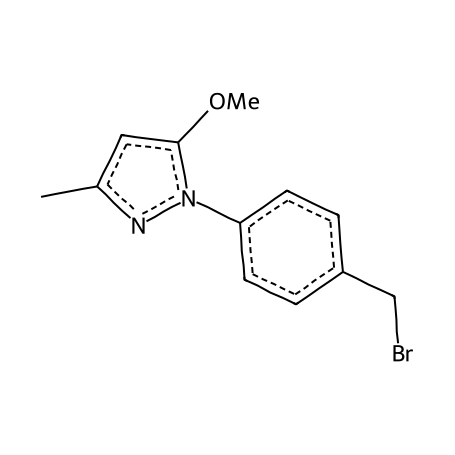 COc1cc(C)nn1-c1ccc(CBr)cc1